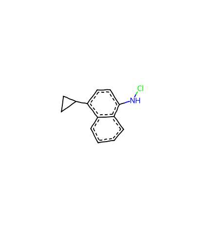 ClNc1ccc(C2CC2)c2ccccc12